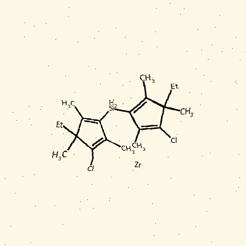 CCC1(C)C(C)=C([SiH2]C2=C(C)C(C)(CC)C(Cl)=C2C)C(C)=C1Cl.[Zr]